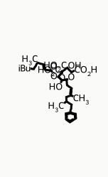 CCC(C)CC(C)C=CC(=O)OC1C(O)C2(CC=C(C)CC(C)Cc3ccccc3)OC(C(=O)O)C(O)(C(=O)O)C1(C(=O)O)O2